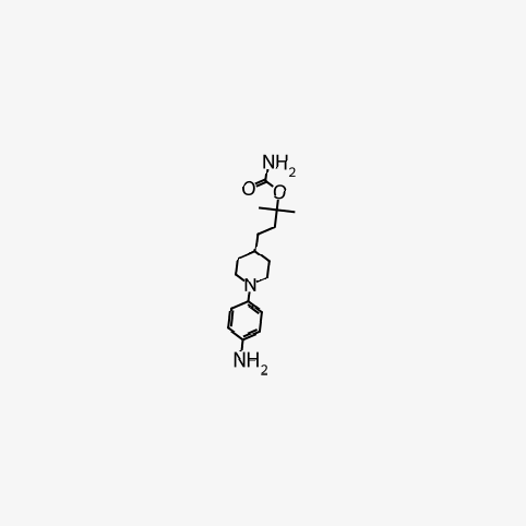 CC(C)(CCC1CCN(c2ccc(N)cc2)CC1)OC(N)=O